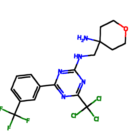 NC1(CNc2nc(-c3cccc(C(F)(F)F)c3)nc(C(Cl)(Cl)Cl)n2)CCOCC1